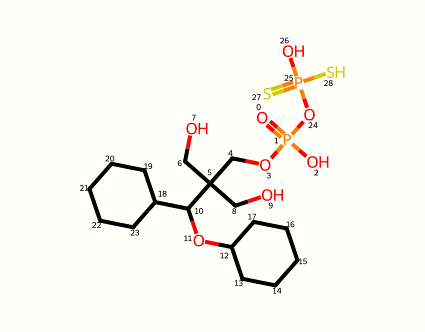 O=P(O)(OCC(CO)(CO)C(OC1CCCCC1)C1CCCCC1)OP(O)(=S)S